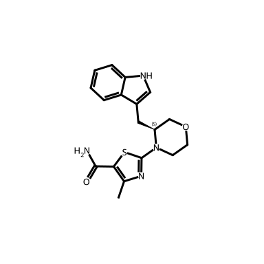 Cc1nc(N2CCOC[C@@H]2Cc2c[nH]c3ccccc23)sc1C(N)=O